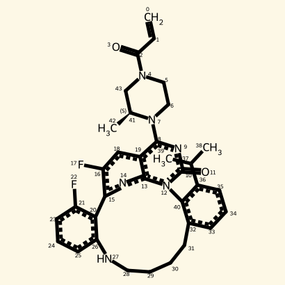 C=CC(=O)N1CCN(c2nc(=O)n3c4nc(c(F)cc24)-c2c(F)cccc2NCCCCc2cccc(C(C)C)c2-3)[C@@H](C)C1